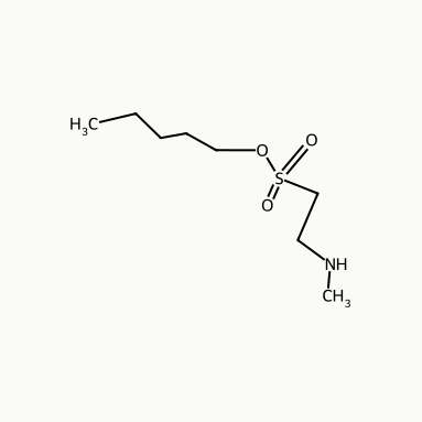 CCCCCOS(=O)(=O)CCNC